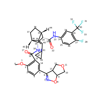 COc1ccc(C2=NOC3COCC23)cc1C(=O)N[C@H]1[C@@H](C(=O)Nc2ccc(F)c(C(F)(F)F)c2)[C@H]2CC[C@@H]1/C2=C\C1CC1